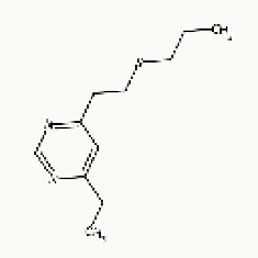 CCCSCCc1cc(CC)ncn1